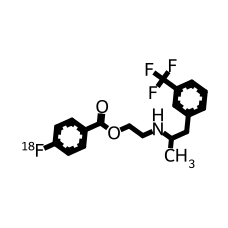 CC(Cc1cccc(C(F)(F)F)c1)NCCOC(=O)c1ccc([18F])cc1